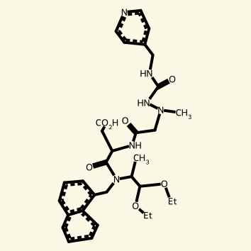 CCOC(OCC)C(C)N(Cc1cccc2ccccc12)C(=O)C(CC(=O)O)NC(=O)CN(C)NC(=O)NCc1ccncc1